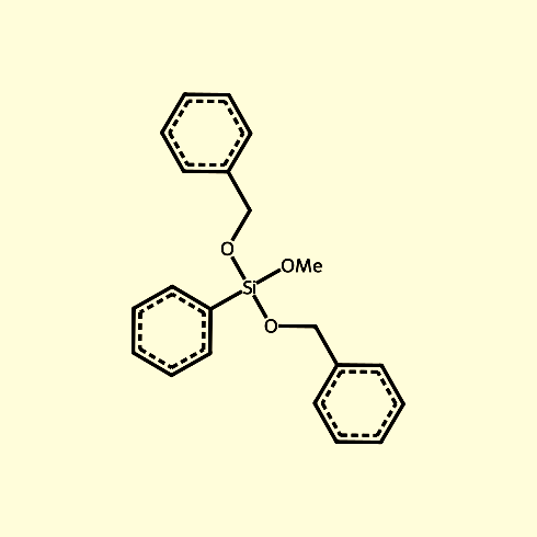 CO[Si](OCc1ccccc1)(OCc1ccccc1)c1ccccc1